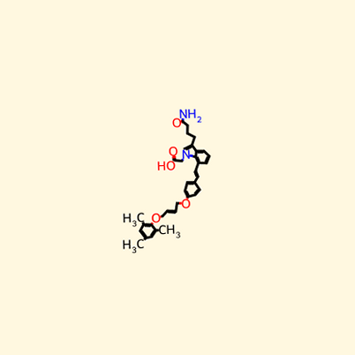 Cc1cc(C)c(OCC=CCOc2ccc(C=Cc3cccc4c(CCCC(N)=O)cn(CC(=O)O)c34)cc2)c(C)c1